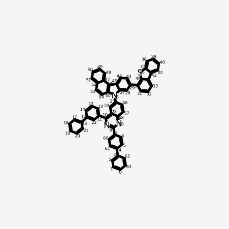 c1ccc(-c2ccc(-c3nc(-c4cccc(-c5ccccc5)c4)c4cc(-n5c6cc(-c7cccc8c7sc7ccccc78)ccc6c6c7ccccc7ccc65)ccc4n3)cc2)cc1